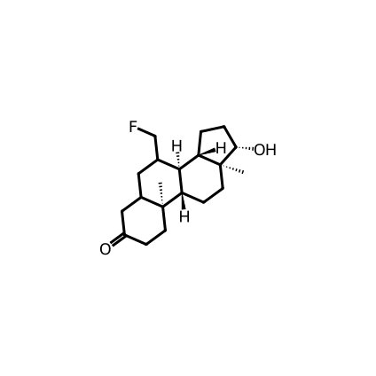 C[C@]12CC[C@H]3[C@@H](C(CF)CC4CC(=O)CC[C@@]43C)[C@@H]1CC[C@@H]2O